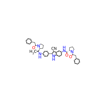 C=C(Nc1ccc(-c2[nH]c3ccc(NC(=O)[C@@H]4CCCN4C(=O)Cc4ccccc4)cc3c2C#N)cc1)[C@@H]1CCCN1C(=O)Cc1ccccc1